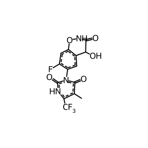 Cc1c(C(F)(F)F)[nH]c(=O)n(-c2cc3c(cc2F)ONC(=O)C3O)c1=O